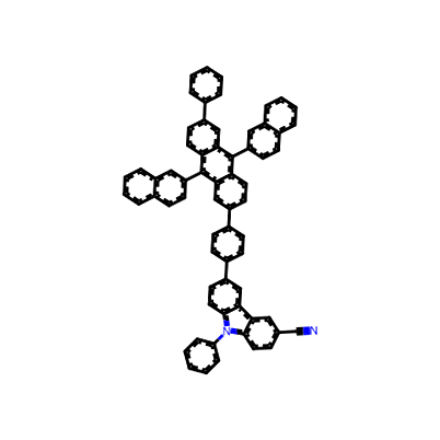 N#Cc1ccc2c(c1)c1cc(-c3ccc(-c4ccc5c(-c6ccc7ccccc7c6)c6cc(-c7ccccc7)ccc6c(-c6ccc7ccccc7c6)c5c4)cc3)ccc1n2-c1ccccc1